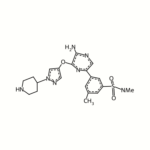 CNS(=O)(=O)c1cc(C)cc(-c2cnc(N)c(Oc3cnn(C4CCNCC4)c3)n2)c1